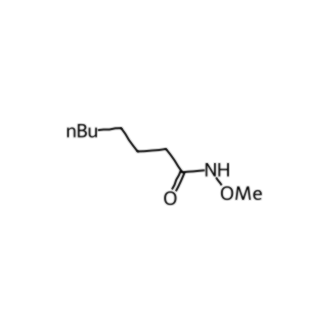 CCCCCCCC(=O)NOC